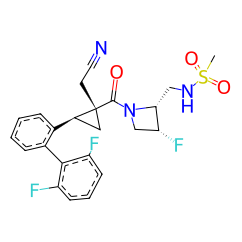 CS(=O)(=O)NC[C@@H]1[C@H](F)CN1C(=O)[C@]1(CC#N)C[C@H]1c1ccccc1-c1c(F)cccc1F